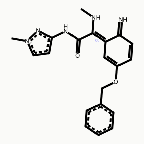 CN/C(C(=O)Nc1ccn(C)n1)=C1/C=C(OCc2ccccc2)C=CC1=N